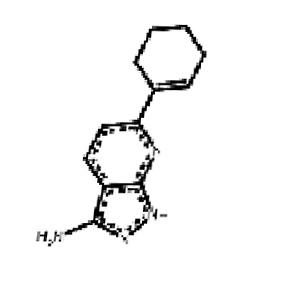 Nc1n[nH]c2nc(C3=CCCCC3)ccc12